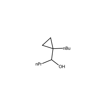 CCCCC1(C(O)CCC)CC1